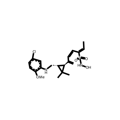 C=C(/C=C\C(=C/C)S(=O)(=O)NO)[C@@H]1[C@@H](CNc2cc(Cl)ccc2OC)C1(C)C